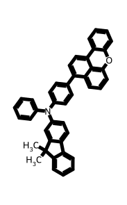 CC1(C)c2ccccc2-c2ccc(N(c3ccccc3)c3ccc(-c4ccc5c6c(cccc46)Oc4ccccc4-5)cc3)cc21